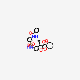 O=C(Nc1cccc(S(=O)(=O)Nc2cccc(C(c3c(O)c4c(oc3=O)CCCCCC4=O)C3CC3)c2)c1)c1ccccc1